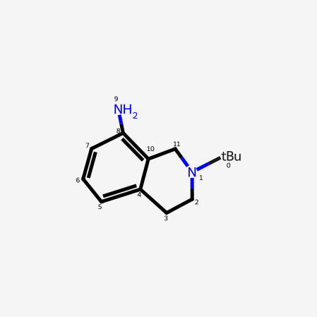 CC(C)(C)N1CCc2cccc(N)c2C1